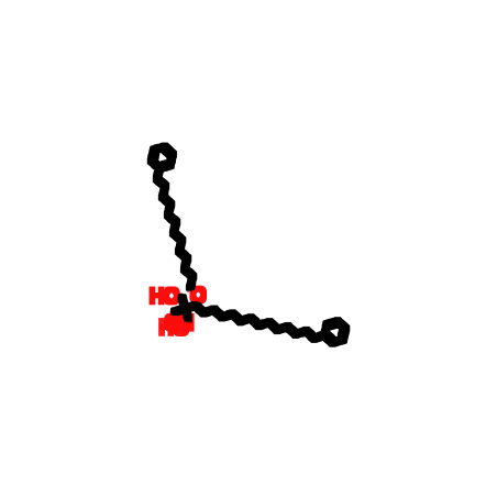 OCC(CO)(CO)C(CCCCCCCCCCCCCc1ccccc1)OCCCCCCCCCCCCCc1ccccc1